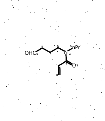 C=CC(=O)N(CCC)CCCC=O